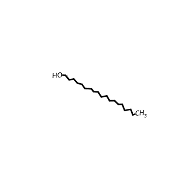 CCCCCCCCCCCCCCCCCC[CH]O